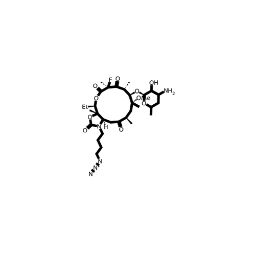 CC[C@H]1OC(=O)[C@@](C)(F)C(=O)[C@H](C)[C@@H](O[C@@H]2OC(C)CC(N)C2O)[C@](C)(OC)C[C@@H](C)C(=O)C[C@H]2N(CCCCN=[N+]=[N-])C(=O)O[C@]12C